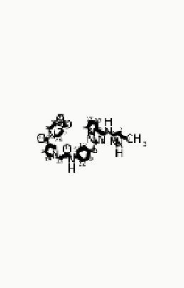 Cc1cc(Nc2nc(Sc3ccc(NC(=O)CN4CC[C@@H](C(=O)N5CCS(=O)(=O)CC5)C4)cc3)nn3cccc23)n[nH]1